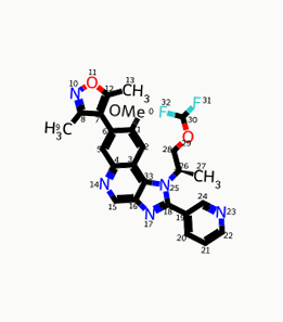 COc1cc2c(cc1-c1c(C)noc1C)ncc1nc(-c3cccnc3)n([C@H](C)COC(F)F)c12